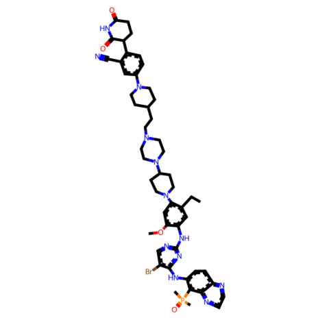 CCc1cc(Nc2ncc(Br)c(Nc3ccc4nccnc4c3P(C)(C)=O)n2)c(OC)cc1N1CCC(N2CCN(CCC3CCN(c4ccc(C5CCC(=O)NC5=O)c(C#N)c4)CC3)CC2)CC1